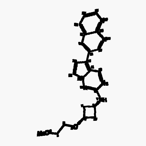 COCCO[C@H]1C[C@@H](Nc2ncc3c(-c4cnc5ncccc5c4)ccn3n2)C1